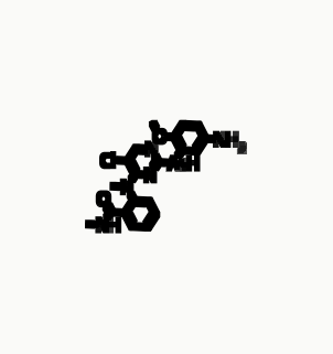 CNC(=O)c1ccccc1N(C)c1nc([AsH]c2cc(N)ccc2OC)ncc1Cl